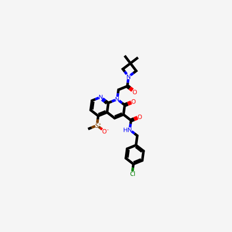 C[S+]([O-])c1ccnc2c1cc(C(=O)NCc1ccc(Cl)cc1)c(=O)n2CC(=O)N1CC(C)(C)C1